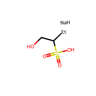 CCC(CO)S(=O)(=O)O.[NaH]